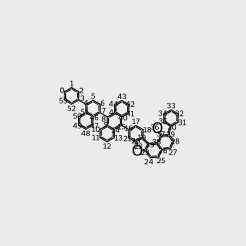 c1ccc(-c2ccc(-c3c4ccccc4c(-c4ccc5c(c4)oc4ccc6ccc7c8ccccc8oc7c6c45)c4ccccc34)c3ccccc23)cc1